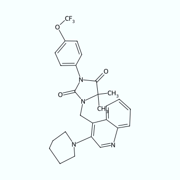 CC1(C)C(=O)N(c2ccc(OC(F)(F)F)cc2)C(=O)N1Cc1c(N2CCCCC2)cnc2ccccc12